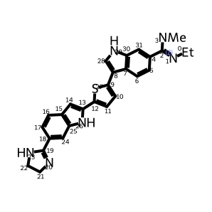 CC/N=C(\NC)c1ccc2c(-c3ccc(-c4cc5ccc(C6=NCCN6)cc5[nH]4)s3)c[nH]c2c1